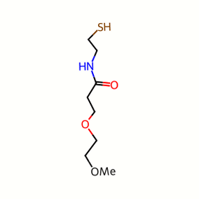 COCCOCCC(=O)NCCS